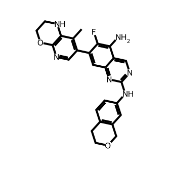 Cc1c(-c2cc3nc(Nc4ccc5c(c4)COCC5)ncc3c(N)c2F)cnc2c1NCCO2